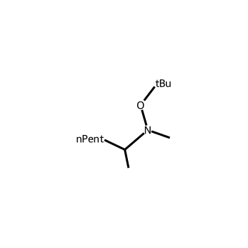 CCCCCC(C)N(C)OC(C)(C)C